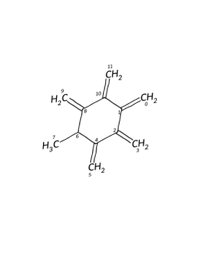 C=C1C(=C)C(=C)C(C)C(=C)C1=C